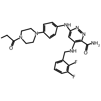 CCC(=O)N1CCN(c2ccc(Nc3cc(NCc4cccc(F)c4F)c(C(N)=O)nn3)cc2)CC1